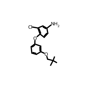 CC(C)(C)COc1cccc(Oc2ccc(N)cc2Cl)c1